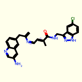 C=C(Cc1ccc2ncc(N)cc2c1)/N=C\C=C(/C)C(=O)NCc1n[nH]c2ccc(Cl)cc12